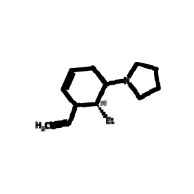 C=CC1C=CCC(N2CCCC2)[C@@H]1CC